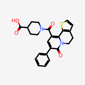 O=C(O)C1CCN(C(=O)c2cc(-c3ccccc3)c(=O)n3c2-c2sccc2CC3)CC1